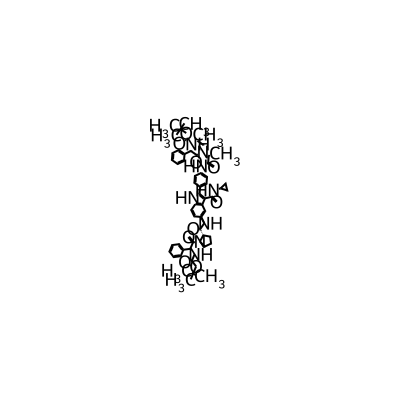 CCCN(C(=O)[C@H](NC(=O)OC(C)(C)C)c1ccccc1)[C@@H](C)C(=O)Nc1ccc(-c2[nH]c3ccc(NC(=O)[C@@H]4CCCN4C(=O)[C@H](NC(=O)OC(C)(C)C)c4ccccc4)cc3c2C(=O)NC2CC2)cc1